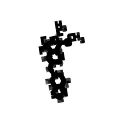 COC(OC)c1ncc(CN2CCc3ncsc3C2)cc1C(F)(F)F